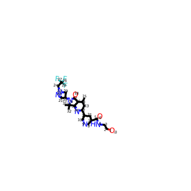 COCCNC(=O)C1CN=CC(C2CC(C)C3C(=O)N(C4C=NN(CC(F)(F)F)C4)C(C)(C)C3=N2)C1